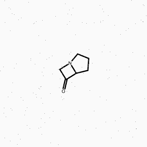 O=C1[CH]N2CCCC12